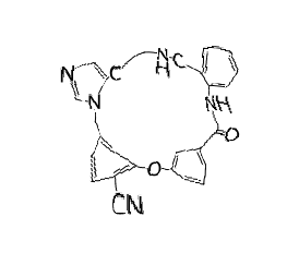 N#Cc1ccc2cc1Oc1cccc(c1)C(=O)Nc1ccccc1CNCCc1cncn1C2